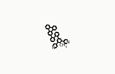 CC1C(c2ccncc2)=CC(c2ccccc2-c2ccccc2-c2ccc3c4ccccc4c4ccccc4c3c2)=CC1c1ccncc1